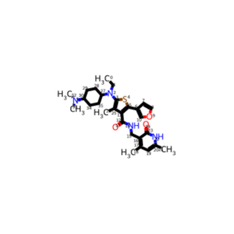 CCN(c1sc(-c2ccoc2)c(C(=O)NCc2c(C)cc(C)[nH]c2=O)c1C)C1CCC(N(C)C)CC1